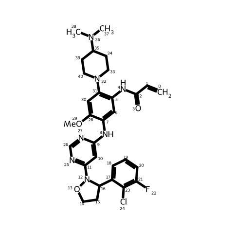 C=CC(=O)Nc1cc(Nc2cc(N3OCCC3c3cccc(F)c3Cl)ncn2)c(OC)cc1N1CCC(N(C)C)CC1